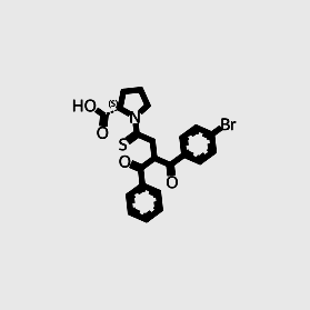 O=C(c1ccccc1)C(CC(=S)N1CCC[C@H]1C(=O)O)C(=O)c1ccc(Br)cc1